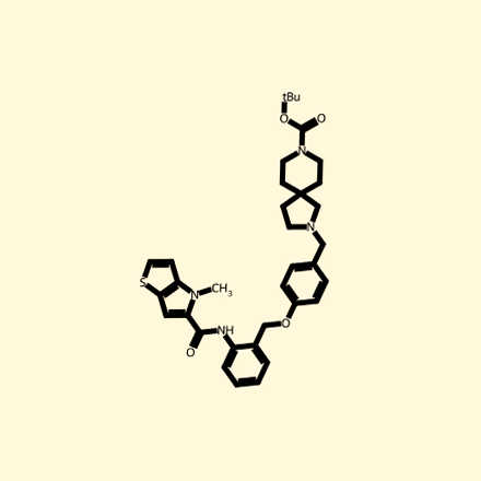 Cn1c(C(=O)Nc2ccccc2COc2ccc(CN3CCC4(CCN(C(=O)OC(C)(C)C)CC4)C3)cc2)cc2sccc21